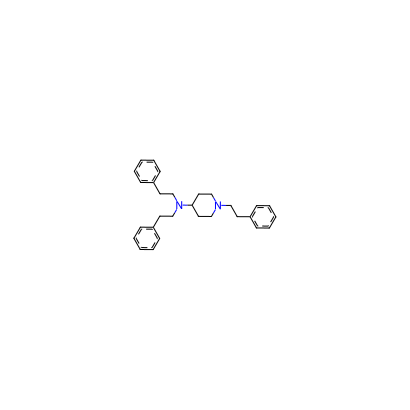 c1ccc(CCN2CCC(N(CCc3ccccc3)CCc3ccccc3)CC2)cc1